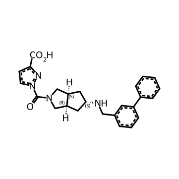 O=C(O)c1ccn(C(=O)N2C[C@H]3C[C@H](NCc4cccc(-c5ccccc5)c4)C[C@H]3C2)n1